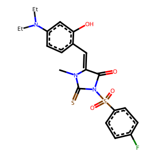 CCN(CC)c1ccc(C=C2C(=O)N(S(=O)(=O)c3ccc(F)cc3)C(=S)N2C)c(O)c1